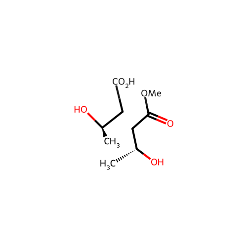 COC(=O)C[C@@H](C)O.C[C@@H](O)CC(=O)O